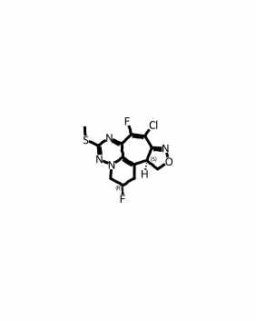 CSC1=NN2C[C@H](F)CC3=C2C(=N1)C(F)=C(Cl)C1=NOC[C@H]13